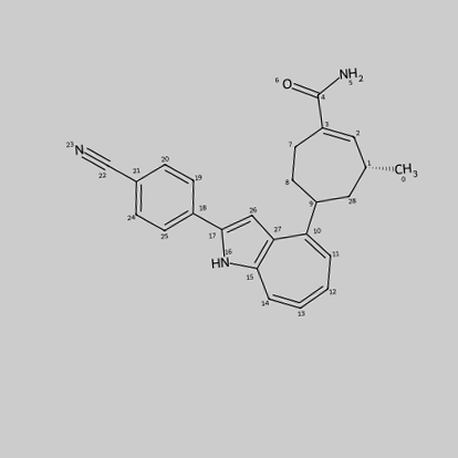 C[C@H]1C=C(C(N)=O)CCC(C2=CC=C=Cc3[nH]c(-c4ccc(C#N)cc4)cc32)C1